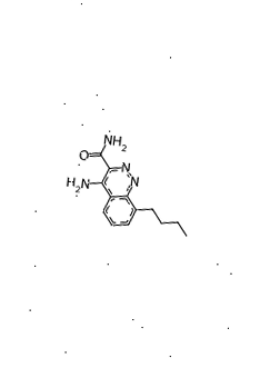 CCCCc1cccc2c(N)c(C(N)=O)nnc12